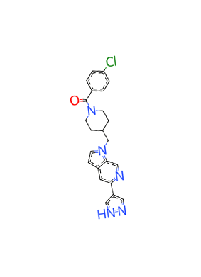 O=C(c1ccc(Cl)cc1)N1CCC(Cn2ccc3cc(-c4cn[nH]c4)ncc32)CC1